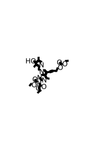 CCOC(=O)OCCC#Cc1cn(Cc2ncc(C)c(O)c2C)c2nc(N(C(=O)OCC)C(=O)OCC)nc(C)c12